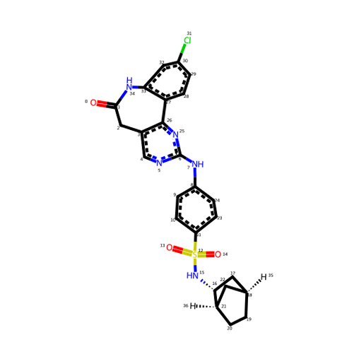 O=C1Cc2cnc(Nc3ccc(S(=O)(=O)N[C@@H]4C[C@H]5CC[C@@H]4C5)cc3)nc2-c2ccc(Cl)cc2N1